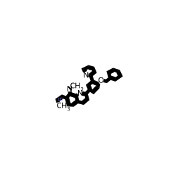 C=Nc1c(/C=C\C)ccc2ccc(-c3ccc(OCc4ccccc4)c(-c4ccccn4)c3)nc12